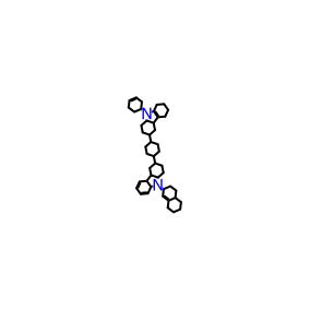 C1=CC2C3CC(C4CCC(C5CCC6C(C5)C5=C(CCCC5)N6C5CC=CCC5)CC4)CCC3N(C3C=C4CCCCC4CC3)C2C=C1